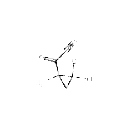 CC1(C(=O)C#N)CC1(Cl)Cl